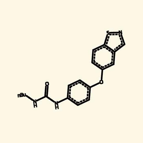 CCCCNC(=O)Nc1ccc(Oc2ccc3sncc3c2)cc1